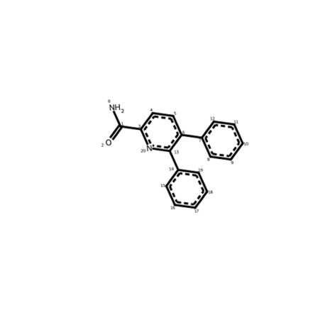 NC(=O)c1ccc(-c2ccccc2)c(-c2ccccc2)n1